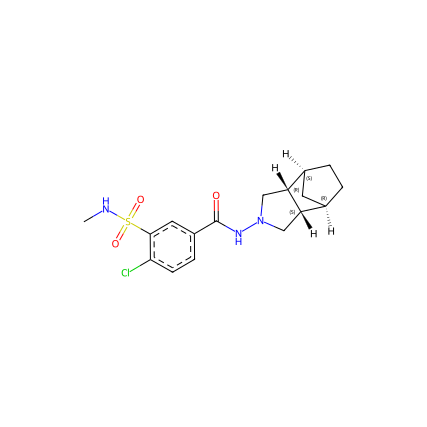 CNS(=O)(=O)c1cc(C(=O)NN2C[C@@H]3[C@H]4CC[C@H](C4)[C@@H]3C2)ccc1Cl